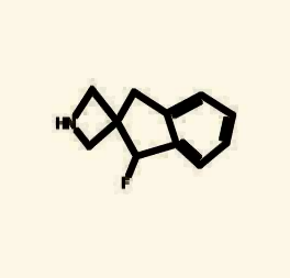 FC1c2ccccc2CC12CNC2